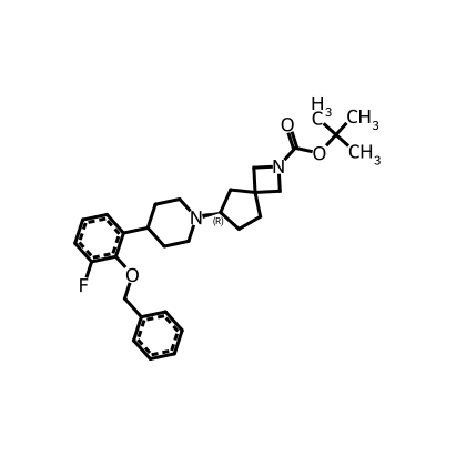 CC(C)(C)OC(=O)N1CC2(CC[C@@H](N3CCC(c4cccc(F)c4OCc4ccccc4)CC3)C2)C1